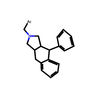 CC(=O)CN1CC2Cc3ccccc3C(c3ccccc3)C2C1